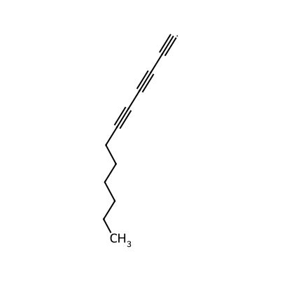 [C]#CC#CC#CCCCCCC